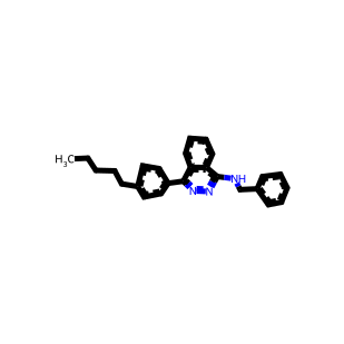 CCCCCc1ccc(-c2nnc(NCc3ccccc3)c3ccccc23)cc1